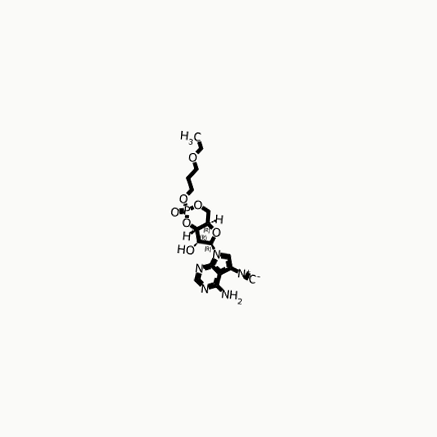 [C-]#[N+]c1cn([C@@H]2O[C@@H]3COP(=O)(OCCCOCC)O[C@H]3[C@H]2O)c2ncnc(N)c12